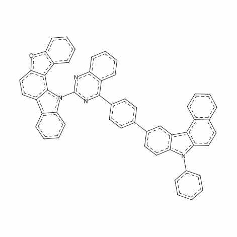 c1ccc(-n2c3ccc(-c4ccc(-c5nc(-n6c7ccccc7c7ccc8oc9ccccc9c8c76)nc6ccccc56)cc4)cc3c3c4ccccc4ccc32)cc1